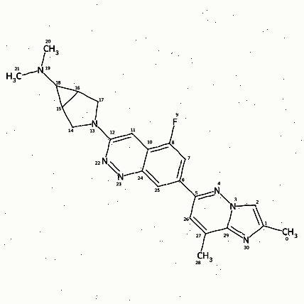 Cc1cn2nc(-c3cc(F)c4cc(N5CC6C(C5)C6N(C)C)nnc4c3)cc(C)c2n1